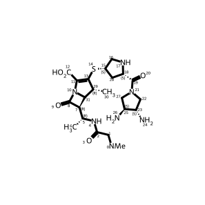 CNCC(=O)N[C@H](C)[C@H]1C(=O)N2C(C(=O)O)=C(S[C@@H]3CN[C@H](C(=O)N4C[C@H](N)[C@@H](N)C4)C3)[C@H](C)C12